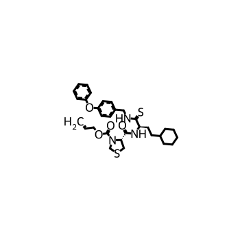 C=CCOC(=O)N1CSC[C@H]1C(=O)N[C@H](CCC1CCCCC1)C(=S)NCc1ccc(Oc2ccccc2)cc1